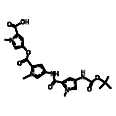 Cn1cc(OC(=O)c2cc(NC(=O)c3cc(NC(=O)OC(C)(C)C)cn3C)cn2C)cc1C(=O)O